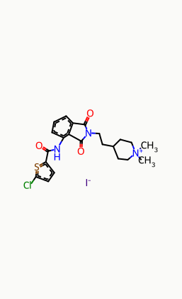 C[N+]1(C)CCC(CCN2C(=O)c3cccc(NC(=O)c4ccc(Cl)s4)c3C2=O)CC1.[I-]